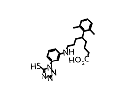 Cc1cccc(C)c1C(CCCNc1cccc(-n2nnnc2S)c1)CCCC(=O)O